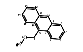 CC(C)OCc1c2ccccc2cc2ccccc12